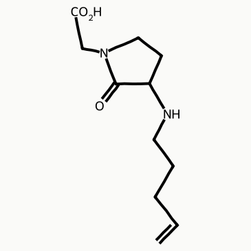 C=CCCCNC1CCN(CC(=O)O)C1=O